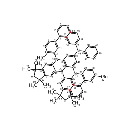 Cc1ccc(-c2ccccc2)cc1N1c2cc3c(cc2B2c4cc5c(cc4N(c4ccc(C(C)(C)C)cc4-c4ccccc4)c4cc(N(c6ccccc6)c6ccccc6)cc1c42)C(C)(C)CC5(C)C)C(C)(C)CC3(C)C